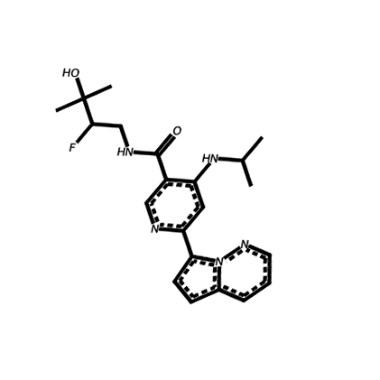 CC(C)Nc1cc(-c2ccc3cccnn23)ncc1C(=O)NCC(F)C(C)(C)O